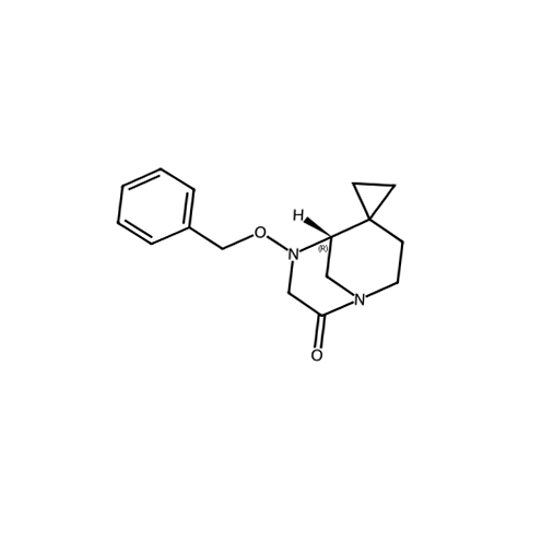 O=C1CN(OCc2ccccc2)[C@H]2CN1CCC21CC1